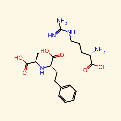 C[C@@H](N[C@@H](CCc1ccccc1)C(=O)O)C(=O)O.N=C(N)NCCC[C@H](N)C(=O)O